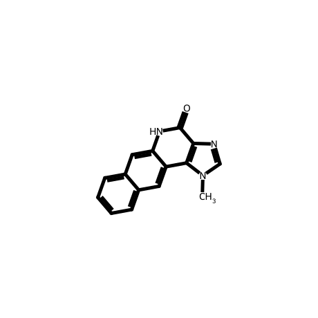 Cn1cnc2c(=O)[nH]c3cc4ccccc4cc3c21